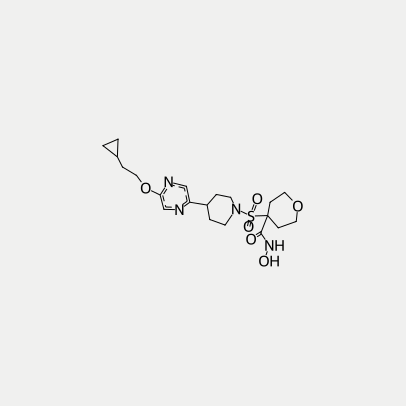 O=C(NO)C1(S(=O)(=O)N2CCC(c3cnc(OCCC4CC4)cn3)CC2)CCOCC1